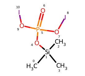 C[Si](C)(C)OP(=O)(OI)OI